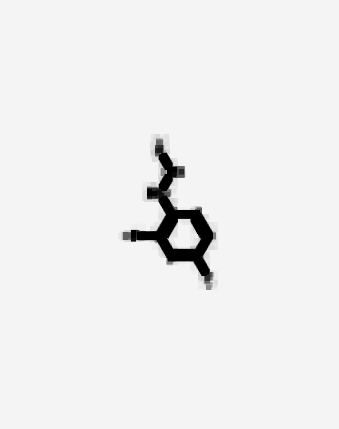 FNNc1ccc(F)cc1F